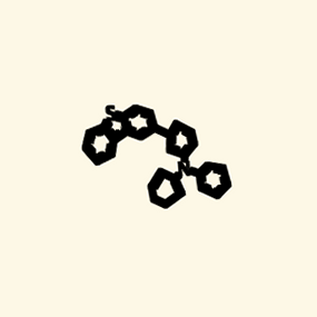 C1=CC(N(c2ccccc2)c2cccc(-c3ccc4sc5ccccc5c4c3)c2)=CCC1